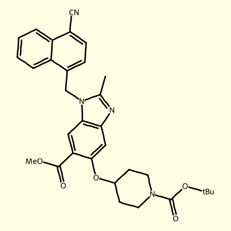 COC(=O)c1cc2c(cc1OC1CCN(C(=O)OC(C)(C)C)CC1)nc(C)n2Cc1ccc(C#N)c2ccccc12